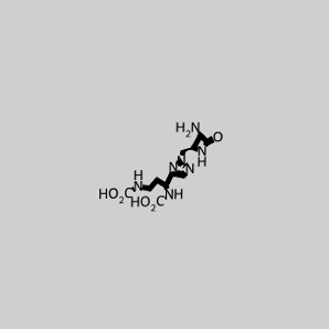 N[C@@H]1C(=O)N[C@H]1Cn1ncc(C(CCNC(=O)O)NC(=O)O)n1